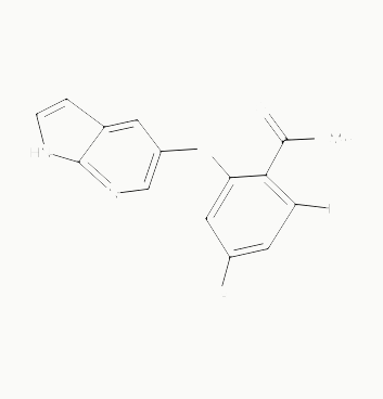 COC(=O)c1c(F)cc(Br)cc1Oc1cnc2[nH]ccc2c1